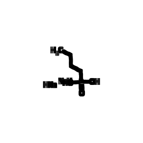 CCCCP(=O)(O)O.[NaH].[NaH]